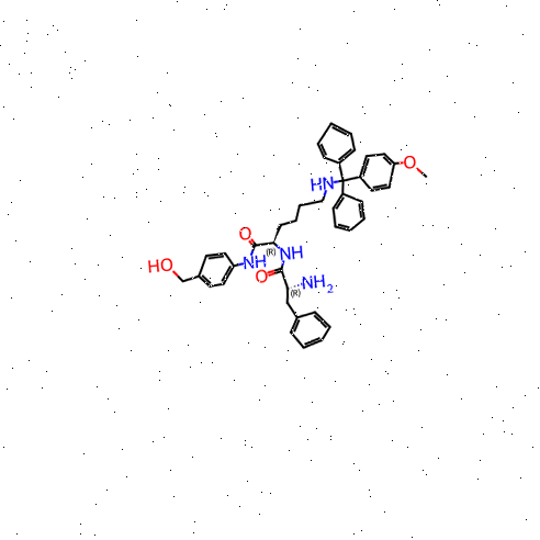 COc1ccc(C(NCCCC[C@@H](NC(=O)[C@H](N)Cc2ccccc2)C(=O)Nc2ccc(CO)cc2)(c2ccccc2)c2ccccc2)cc1